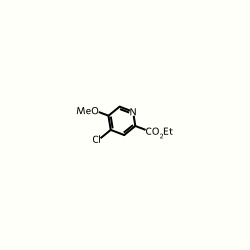 CCOC(=O)c1cc(Cl)c(OC)cn1